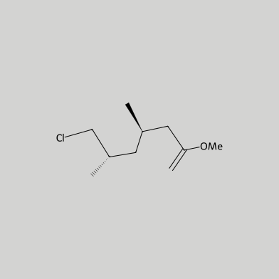 C=C(C[C@H](C)C[C@H](C)CCl)OC